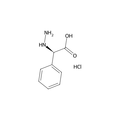 Cl.NN[C@@H](C(=O)O)c1ccccc1